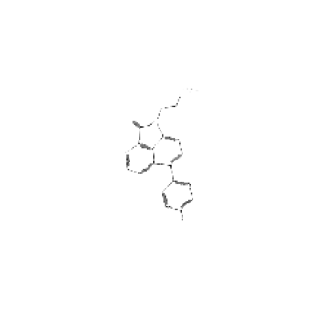 COCCN1C(=O)c2cccc3c(-c4ccc(C)cc4)ccc1c23